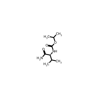 CC(C)OC(=O)N[C@H](C(N)=O)C(C)C